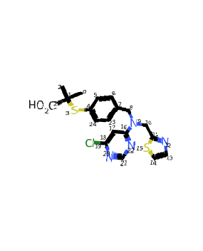 CC(C)(Sc1ccc(CN(Cc2nccs2)c2cc(Cl)ncn2)cc1)C(=O)O